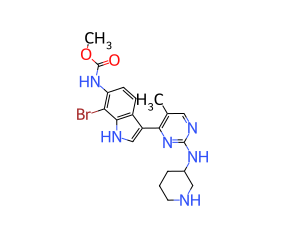 COC(=O)Nc1ccc2c(-c3nc(NC4CCCNC4)ncc3C)c[nH]c2c1Br